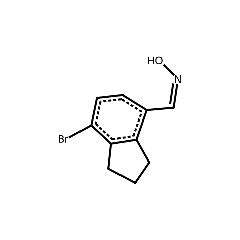 O/N=C\c1ccc(Br)c2c1CCC2